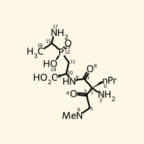 CCC[C@@](N)(C(=O)CNC)C(=O)NC(CP(=O)(O)C(C)N)C(=O)O